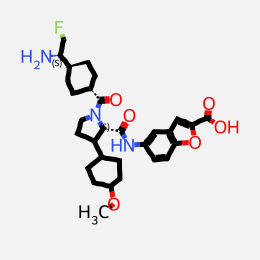 COC1CCC(C2CCN(C(=O)[C@H]3CC[C@H]([C@H](N)CF)CC3)[C@@H]2C(=O)Nc2ccc3oc(C(=O)O)cc3c2)CC1